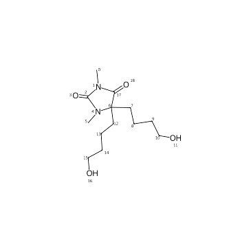 CN1C(=O)N(C)C(CCCCO)(CCCCO)C1=O